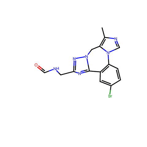 Cc1ncn2c1Cn1nc(CNC=O)nc1-c1cc(Br)ccc1-2